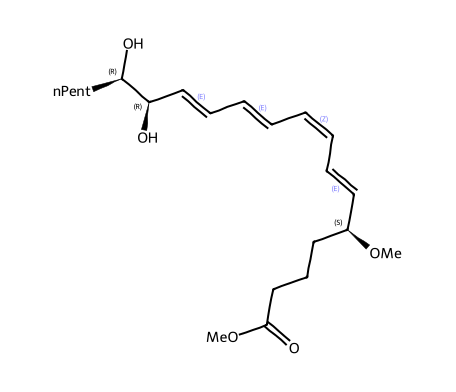 CCCCC[C@@H](O)[C@H](O)/C=C/C=C/C=C\C=C\[C@H](CCCC(=O)OC)OC